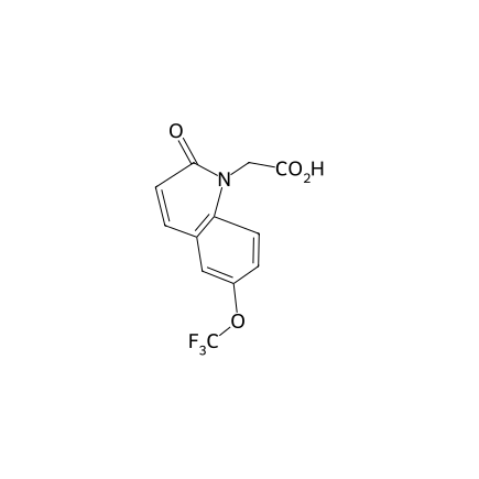 O=C(O)Cn1c(=O)ccc2cc(OC(F)(F)F)ccc21